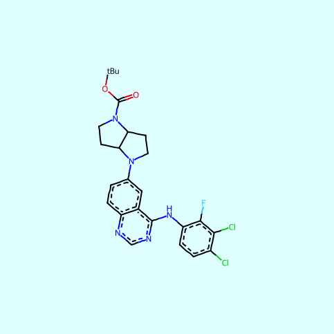 CC(C)(C)OC(=O)N1CCC2C1CCN2c1ccc2ncnc(Nc3ccc(Cl)c(Cl)c3F)c2c1